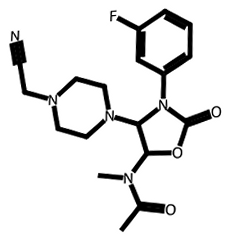 CC(=O)N(C)C1OC(=O)N(c2cccc(F)c2)C1N1CCN(CC#N)CC1